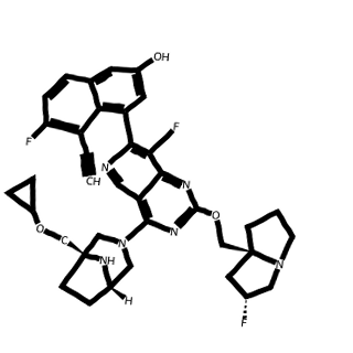 C#Cc1c(F)ccc2cc(O)cc(-c3ncc4c(N5C[C@@H]6CC[C@](COC7CC7)(C5)N6)nc(OC[C@@]56CCCN5C[C@H](F)C6)nc4c3F)c12